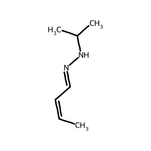 C/C=C\C=N\NC(C)C